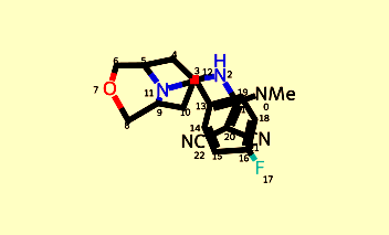 CNC(NC1CC2COCC(C1)N2Cc1ccc(F)cc1)=C(C#N)C#N